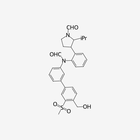 CC(C)C1C(c2ccccc2N(C=O)c2cccc(-c3ccc(CO)c(S(C)(=O)=O)c3)c2)CCN1C=O